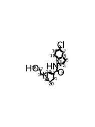 O=C(Nn1ccc2cc(Cl)ccc21)C1=CN(CCO)CCC1